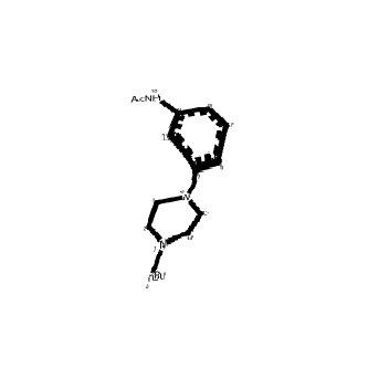 CCCCN1CCN(c2cccc(NC(C)=O)c2)CC1